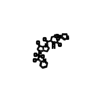 CC(C)(C)CC(NC(=O)Oc1ccsc1)C(=O)N1CCC2C1C(=O)CN2S(=O)(=O)C(=O)c1ccccn1